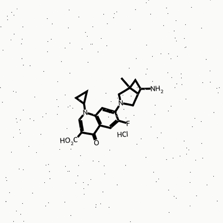 CC12CC(N)C1CN(c1cc3c(cc1F)c(=O)c(C(=O)O)cn3C1CC1)C2.Cl